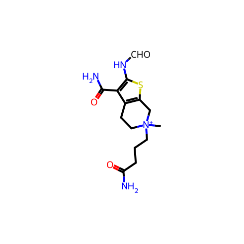 C[N+]1(CCCC(N)=O)CCc2c(sc(NC=O)c2C(N)=O)C1